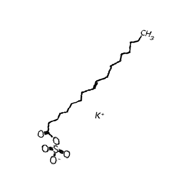 CCCCCCCCC=CCCCCCCCC(=O)OS(=O)(=O)[O-].[K+]